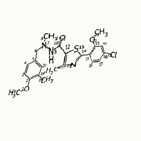 COc1ccc(CN(C)NC(=O)c2sc(-c3ccc(Cl)cc3OC)nc2C)cc1C